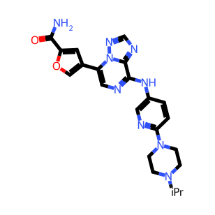 CC(C)N1CCN(c2ccc(Nc3ncc(-c4coc(C(N)=O)c4)n4ncnc34)cn2)CC1